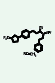 CC#N.CCCN(CCc1ccccc1)C(CC)CCc1ccc(C2CCC(C(F)(F)F)C2)cc1